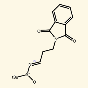 CC(C)(C)[S+]([O-])/N=C/CCN1C(=O)c2ccccc2C1=O